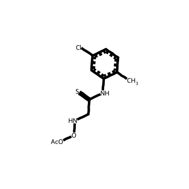 CC(=O)OONCC(=S)Nc1cc(Cl)ccc1C